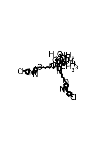 CC(C)N(C)C(=O)C(C(C(=O)NCC(C)(C)N)N1CCN(CCCCCOc2ccc3c(c2)ncn3-c2ccc(Cl)cc2)CC1)N1CCN(CCCCCOc2ccc3c(c2)ncn3-c2ccc(Cl)cc2)CC1